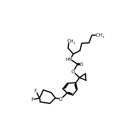 CCCCCC(CC)NC(=O)OC1(c2ccc(OC3CCC(F)(F)CC3)cc2)CC1